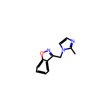 Cc1nccn1Cc1noc2ccccc12